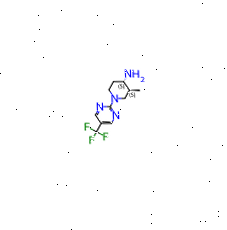 C[C@H]1CN(c2ncc(C(F)(F)F)cn2)CC[C@@H]1N